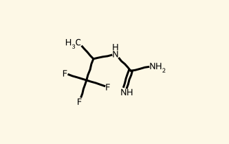 CC(NC(=N)N)C(F)(F)F